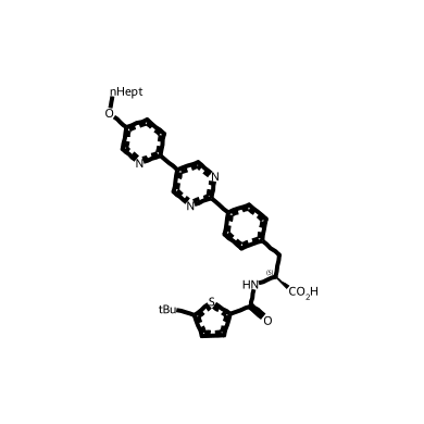 CCCCCCCOc1ccc(-c2cnc(-c3ccc(C[C@H](NC(=O)c4ccc(C(C)(C)C)s4)C(=O)O)cc3)nc2)nc1